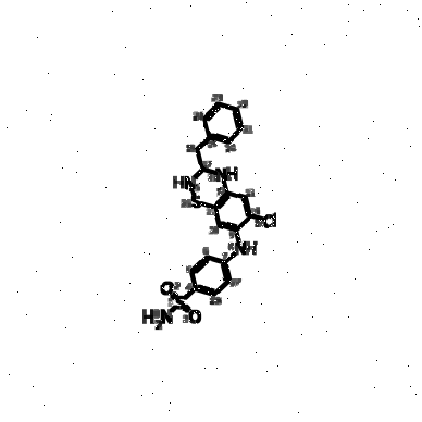 NS(=O)(=O)c1ccc(Nc2cc3c(cc2Cl)NC(Cc2ccccc2)NS3)cc1